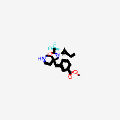 CCC1C[C@H]1N(CC1(Cc2cccc(C(=O)OC)c2)CCNCC1)C(=O)C(F)(F)F